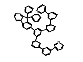 c1ccc(C2(c3ccccc3)c3ccccc3-c3ccc(-c4cc(-c5cccc(-c6cccc(-c7cccnc7)c6)c5)cc(-c5cccc(-c6cccc(-c7cccnc7)c6)c5)c4)cc32)cc1